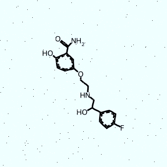 NC(=O)c1cc(OCCNCC(O)c2ccc(F)cc2)ccc1O